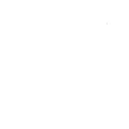 OCCc1ccc(O)c(OCC2CC2)c1